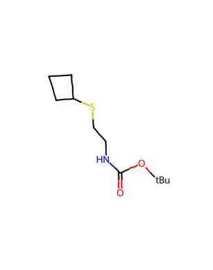 CC(C)(C)OC(=O)NCCSC1CCC1